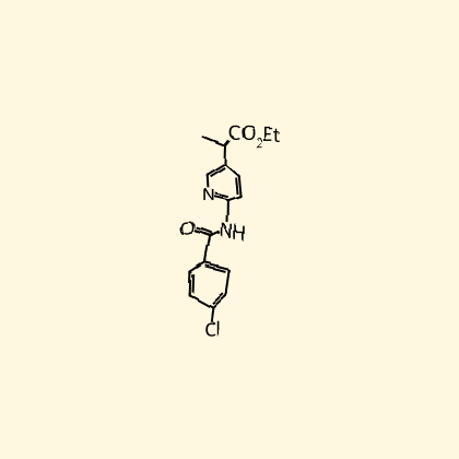 CCOC(=O)C(C)c1ccc(NC(=O)c2ccc(Cl)cc2)nc1